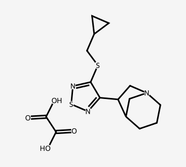 C1CC2CN(C1)CC2c1nsnc1SCC1CC1.O=C(O)C(=O)O